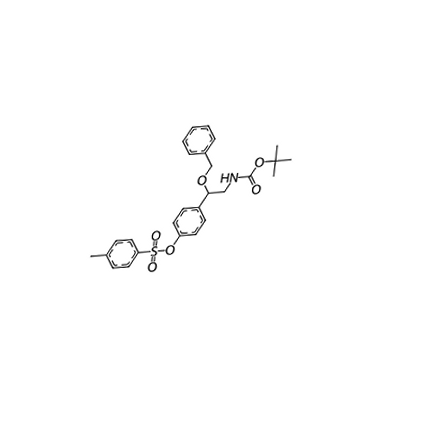 Cc1ccc(S(=O)(=O)Oc2ccc(C(CNC(=O)OC(C)(C)C)OCc3ccccc3)cc2)cc1